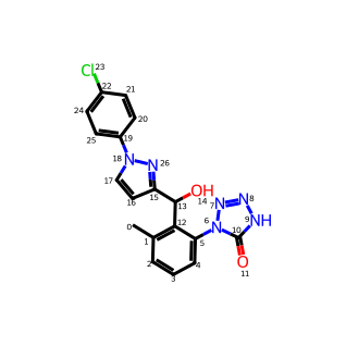 Cc1cccc(-n2nn[nH]c2=O)c1C(O)c1ccn(-c2ccc(Cl)cc2)n1